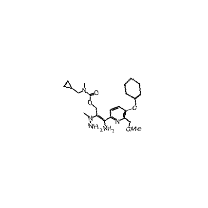 COCc1nc(/C(N)=C(\COC(=O)N(C)CC2CC2)N(C)N)ccc1OC1CCCCC1